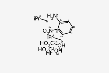 CC(C)C.CC(C)C.F.Nc1ccccc1[N+](=O)[O-].O=C(O)O.O=C(O)O